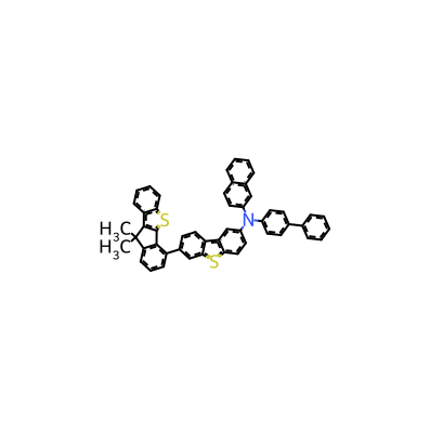 CC1(C)c2cccc(-c3ccc4c(c3)sc3ccc(N(c5ccc(-c6ccccc6)cc5)c5ccc6ccccc6c5)cc34)c2-c2sc3ccccc3c21